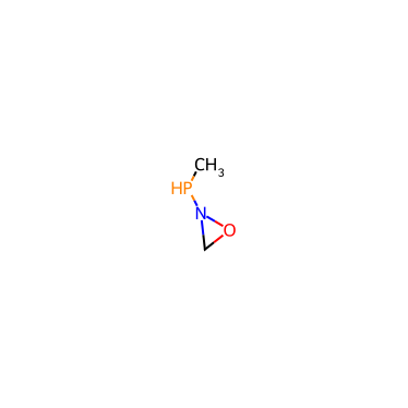 CPN1CO1